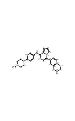 CC(C)N1CCC(c2ccc(Nc3ncc(-c4ccc5c(c4)CNCO5)n4ccnc34)cc2)CC1